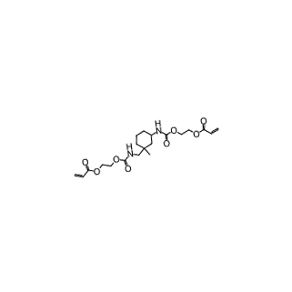 C=CC(=O)OCCOC(=O)NCC1(C)CCCC(NC(=O)OCCOC(=O)C=C)C1